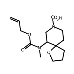 C=CCOC(=O)N(C)C1CN(C(=O)O)CCC12CCCO2